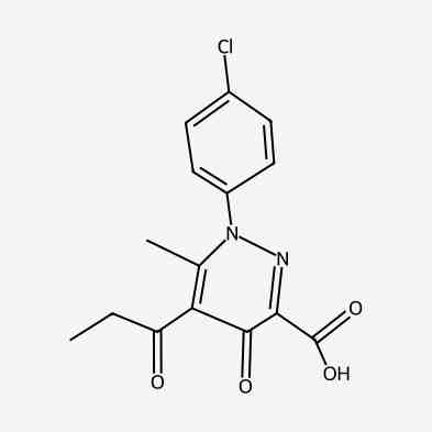 CCC(=O)c1c(C)n(-c2ccc(Cl)cc2)nc(C(=O)O)c1=O